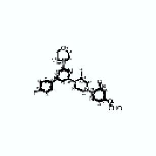 C[C@@H]1COCCN1c1nc(-c2ccc(F)cc2)cc(N2CCN(c3ncc(OC=O)cc3Cl)C[C@@H]2C)n1